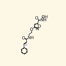 O=C(/C=C/c1ccccc1)NCCOc1cc(C(=O)NO)on1